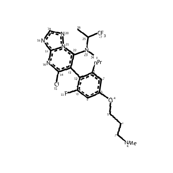 CCCc1cc(OCCCNC)cc(F)c1-c1c(Cl)nc2ncnn2c1N(C)C(C)C(F)(F)F